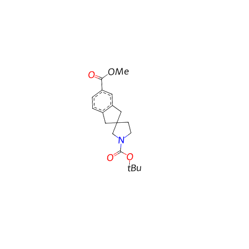 COC(=O)c1ccc2c(c1)CC1(CCN(C(=O)OC(C)(C)C)C1)C2